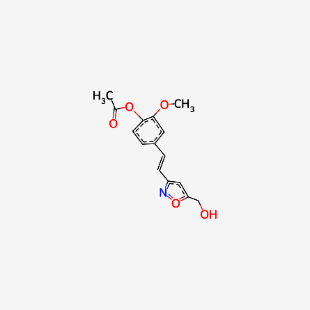 COc1cc(C=Cc2cc(CO)on2)ccc1OC(C)=O